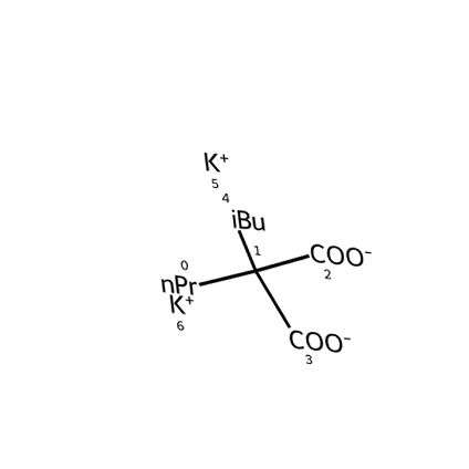 CCCC(C(=O)[O-])(C(=O)[O-])C(C)CC.[K+].[K+]